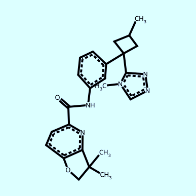 CC1CC(c2cccc(NC(=O)c3ccc4c(n3)C(C)(C)CO4)c2)(c2nncn2C)C1